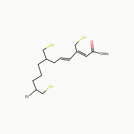 CCC(CS)CCCC(CS)CC=CC(=CC(=O)OC)CS